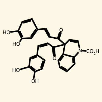 O=C(O)N1C=CC(C(=O)C=Cc2ccc(O)c(O)c2)(C(=O)C=Cc2ccc(O)c(O)c2)c2ccccc21